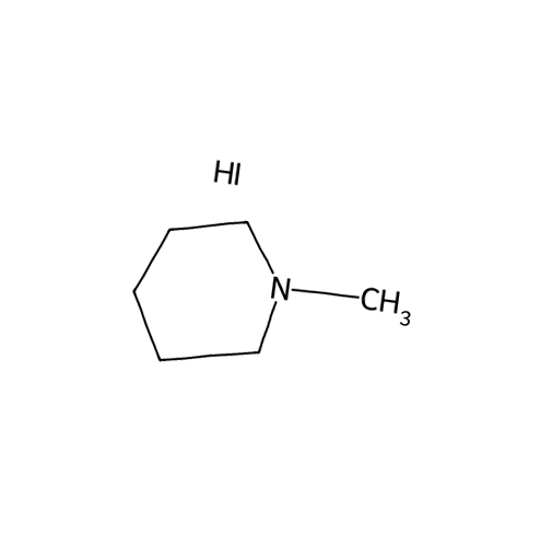 CN1CCCCC1.I